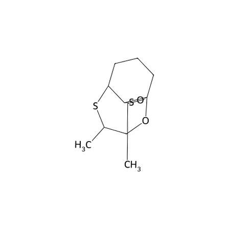 CC1COC23CCCC(S1)C2SC(C)CO3